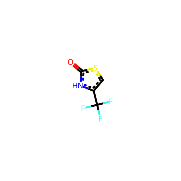 O=c1[nH]c(C(F)(F)F)cs1